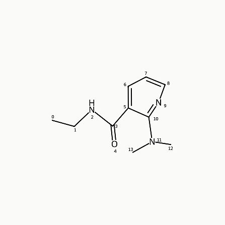 CCNC(=O)c1cccnc1N(C)C